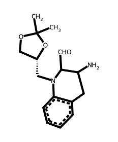 CC1(C)OC[C@@H](CN2c3ccccc3CC(N)C2C=O)O1